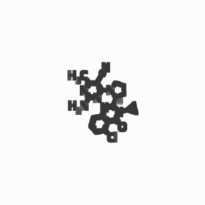 Cc1nc(N)nc(N2CCC[C@H]2c2nc3cccc(Cl)c3c(=O)n2C2CC2)c1C#N